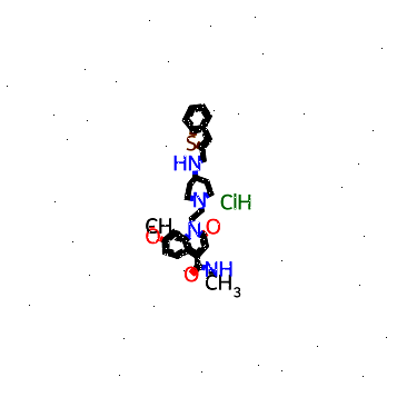 CNC(=O)c1cc(=O)n(CCN2CCC(NCc3cc4ccccc4s3)CC2)c2cc(OC)ccc12.Cl